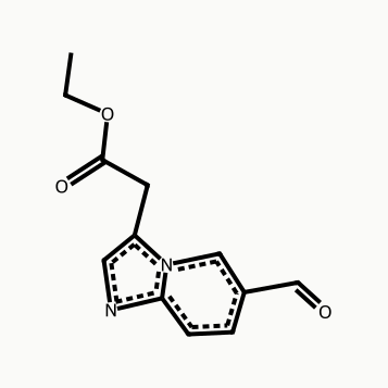 CCOC(=O)Cc1cnc2ccc(C=O)cn12